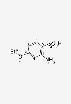 CCOc1ccc(S(=O)(=O)O)c(N)c1